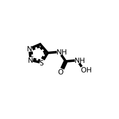 O=C(NO)Nc1cnns1